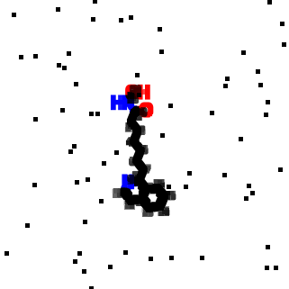 O=C(CCCCCCc1nccc2ccccc12)NO